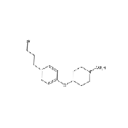 O=C(O)N1CCC(Oc2ccc(CCCBr)cc2)CC1